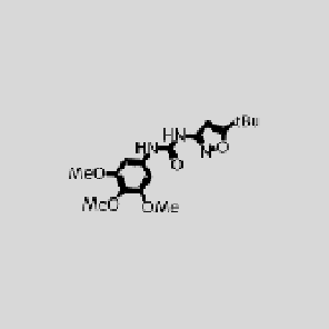 COc1cc(NC(=O)Nc2cc(C(C)(C)C)on2)cc(OC)c1OC